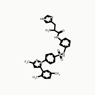 Cc1ccc(C)c(-c2cc(C(F)(F)F)nn2-c2ccc(S(=O)(=O)Nc3cccc(NC(=O)C(N)Cc4c[nH]cn4)c3)cc2)c1